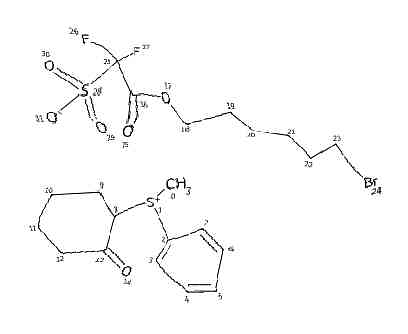 C[S+](c1ccccc1)C1CCCCC1=O.O=C(OCCCCCCBr)C(F)(F)S(=O)(=O)[O-]